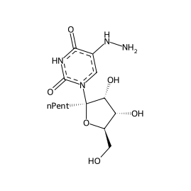 CCCCC[C@@]1(n2cc(NN)c(=O)[nH]c2=O)O[C@H](CO)[C@@H](O)[C@H]1O